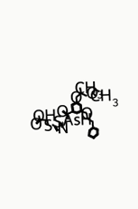 COCC(C)Oc1cc(OCCc2ccccc2)cc(C(=O)[AsH]c2ncc(SCC(=O)O)s2)c1